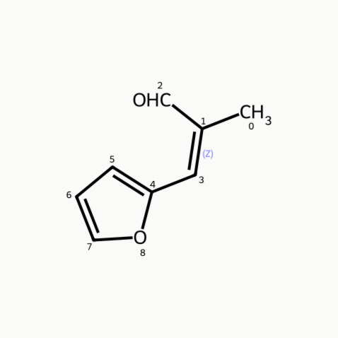 C/C(C=O)=C/c1ccco1